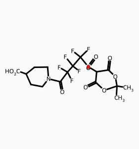 CC1(C)OC(=O)C(S(=O)(=O)C(F)(F)C(F)(F)C(F)(F)C(=O)N2CCC(C(=O)O)CC2)C(=O)O1